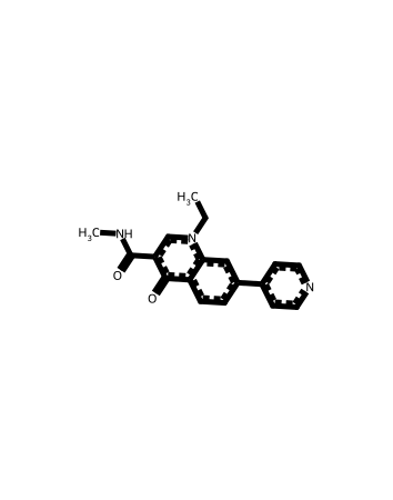 CCn1cc(C(=O)NC)c(=O)c2ccc(-c3ccncc3)cc21